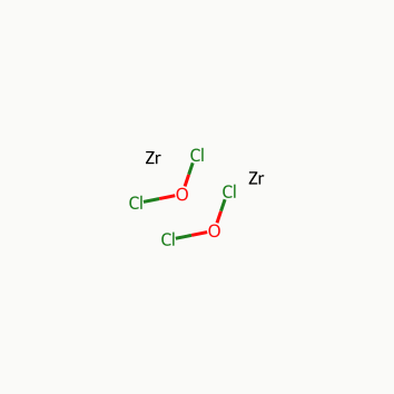 ClOCl.ClOCl.[Zr].[Zr]